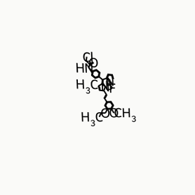 CCOc1cc(/C=C/C2C=C(C)C3=C(c4ccc(NC(=O)CCl)cc4)c4cccn4B(F)N32)ccc1OC